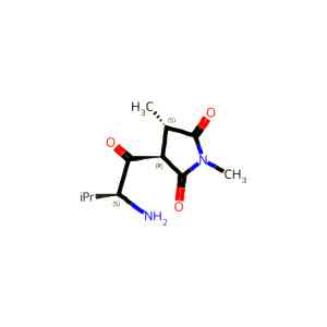 CC(C)[C@H](N)C(=O)[C@@H]1C(=O)N(C)C(=O)[C@H]1C